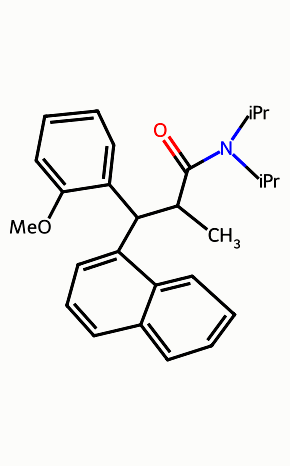 COc1ccccc1C(c1cccc2ccccc12)C(C)C(=O)N(C(C)C)C(C)C